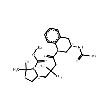 COC(=O)N[C@H]1Cc2ccccc2N(C(=O)CC(C)(C)C[C@H]2COC(C)(C)N2C(=O)OC(C)(C)C)C1